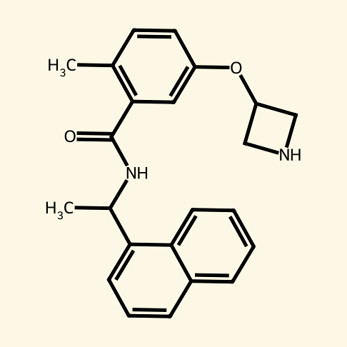 Cc1ccc(OC2CNC2)cc1C(=O)NC(C)c1cccc2ccccc12